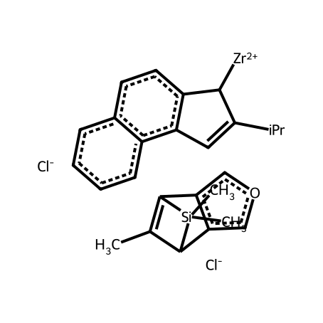 CC(C)C1=Cc2c(ccc3ccccc23)[CH]1[Zr+2].CC1=C2c3cocc3C1[Si]2(C)C.[Cl-].[Cl-]